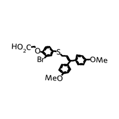 COc1ccc(C(=CCSc2ccc(OCC(=O)O)c(Br)c2)c2ccc(OC)cc2)cc1